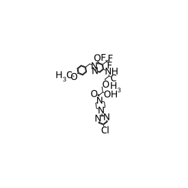 COc1ccc(Cn2ncc(NC(C)COCC(O)C(=O)N3CCN(c4ncc(Cl)cn4)CC3)c(C(F)(F)F)c2=O)cc1